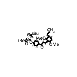 CC=Cc1ccc(OC)c(C=CC(=O)c2ccc(OC(OC(=O)C(C)(C)C)OC(=O)C(C)(C)C)cc2)c1OC